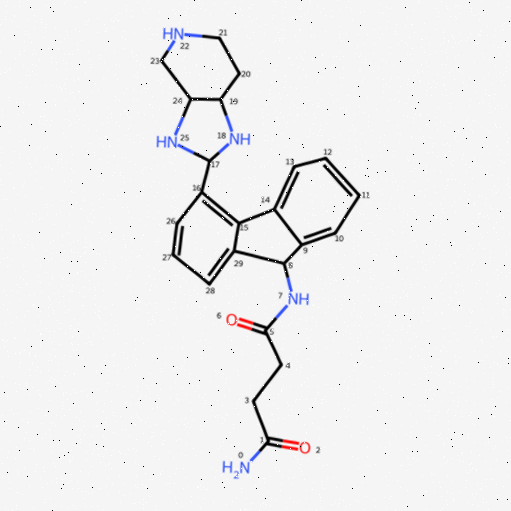 NC(=O)CCC(=O)NC1c2ccccc2-c2c(C3NC4CCNCC4N3)cccc21